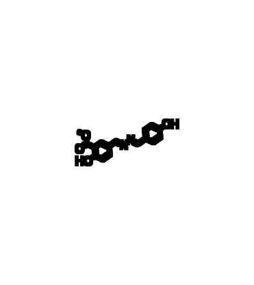 COC(=O)c1cc(C=NN=Cc2ccc(O)cc2)ccc1O